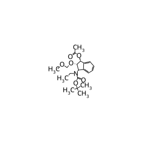 CCN(C(=O)OC(C)(C)C)[C@@H]1c2ccccc2[C@H](OC(C)=O)[C@H]1OCOC